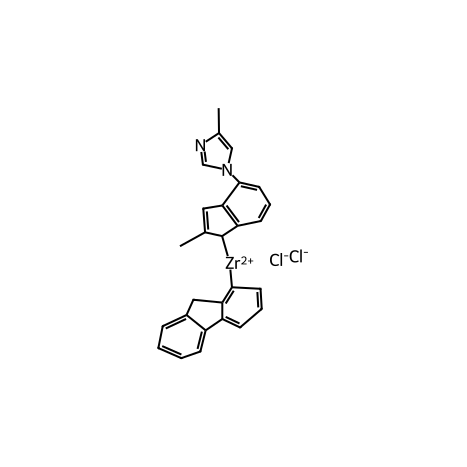 CC1=Cc2c(cccc2-n2cnc(C)c2)[CH]1[Zr+2][c]1cccc2c1Cc1ccccc1-2.[Cl-].[Cl-]